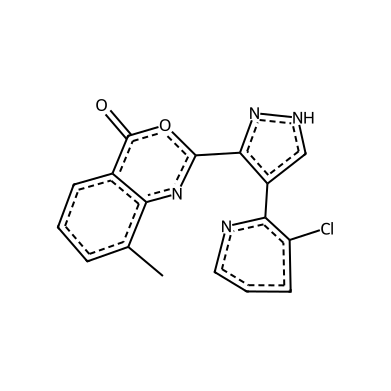 Cc1cccc2c(=O)oc(-c3n[nH]cc3-c3ncccc3Cl)nc12